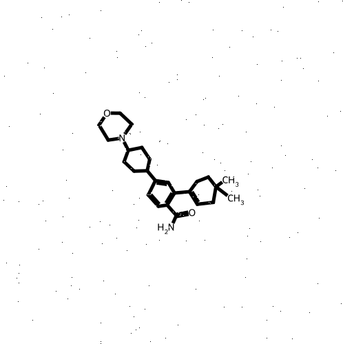 CC1(C)CC=C(c2cc(C3CCC(N4CCOCC4)CC3)ccc2C(N)=O)CC1